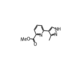 COC(=O)c1cccc(-c2c[nH]nc2C)n1